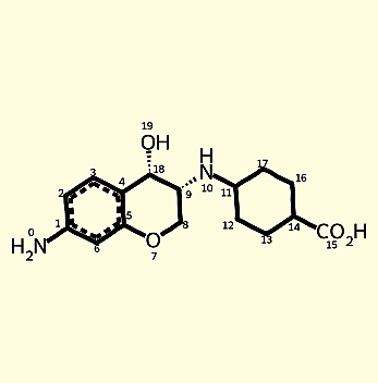 Nc1ccc2c(c1)OC[C@@H](NC1CCC(C(=O)O)CC1)[C@H]2O